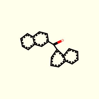 O=C(c1ccc2ccccc2c1)c1cccc2ccccc12